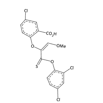 COC=C(Oc1ccc(Cl)cc1C(=O)O)C(=S)Oc1ccc(Cl)cc1Cl